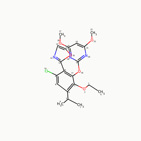 CCOc1c(C(C)C)cc(Cl)c(-c2ncco2)c1Oc1nc(OC)cc(OC)n1